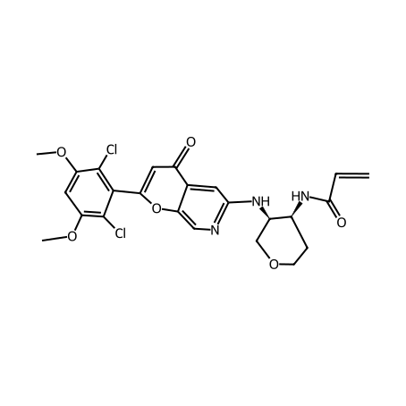 C=CC(=O)N[C@H]1CCOC[C@H]1Nc1cc2c(=O)cc(-c3c(Cl)c(OC)cc(OC)c3Cl)oc2cn1